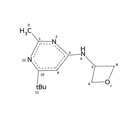 Cc1nc(NC2COC2)cc(C(C)(C)C)n1